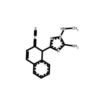 CNn1nc(C2C(=C=S)C=Cc3ccccc32)nc1N